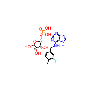 Cc1ccc(CNc2ncnc3nc[nH]c23)cc1F.O=P(O)(O)OC[C@H]1OC(O)[C@H](O)[C@@H]1O